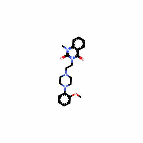 COc1ccccc1N1CCN(CCn2c(=O)c3ccccc3n(C)c2=O)CC1